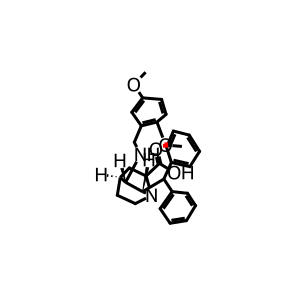 COc1ccc(OC)c(CN[C@H]2[C@H]3CCN(C(C(=O)O)C3)[C@H]2C(c2ccccc2)c2ccccc2)c1